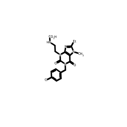 CCc1nc2c(c(=O)n(Cc3ccc(Cl)cc3)c(=O)n2CCNC(=O)O)n1C